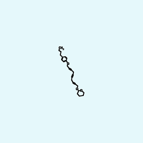 CCCCc1ccc(OCC#CCC#CCC#CCOC2CCCCO2)cc1